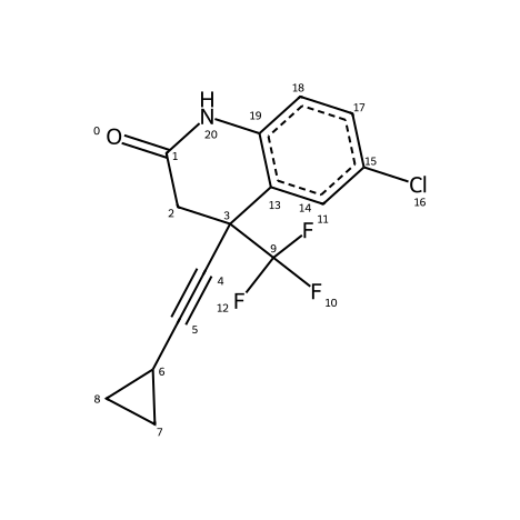 O=C1CC(C#CC2CC2)(C(F)(F)F)c2cc(Cl)ccc2N1